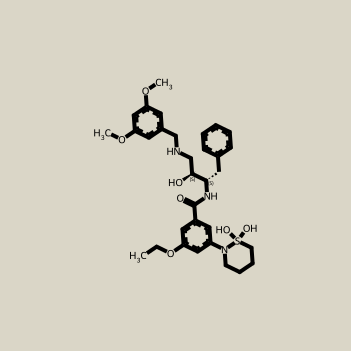 CCOc1cc(C(=O)N[C@@H](Cc2ccccc2)[C@@H](O)CNCc2cc(OC)cc(OC)c2)cc(N2CCCCS2(O)O)c1